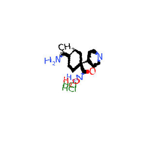 C[C@@H](N)[C@H]1CC[C@@](C(N)=O)(c2ccncc2)CC1.Cl.Cl.O